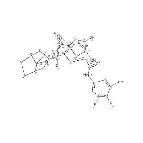 O=C(Nc1cc(F)c(F)c(F)c1)c1ccc(Cl)c(S(=O)(=O)C2CC3CCC(C2)C3(O)CNC(=O)C2CC(O)C(O)C2)c1